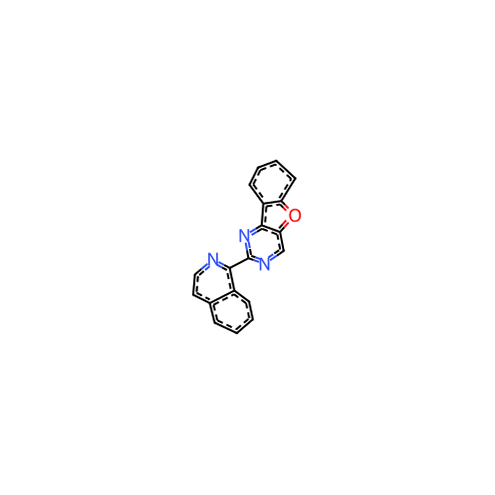 c1ccc2c(-c3ncc4oc5ccccc5c4n3)nccc2c1